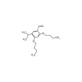 CCCCOc1cc(OCCCC)c(C(C)C)cc1C=O